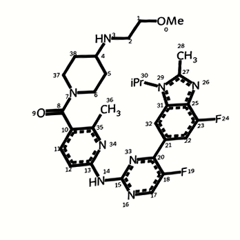 COCCNC1CCN(C(=O)c2ccc(Nc3ncc(F)c(-c4cc(F)c5nc(C)n(C(C)C)c5c4)n3)nc2C)CC1